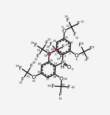 O=[PH](c1c(OC(F)(F)F)cc(OC(F)(F)F)cc1OC(F)(F)F)c1c(OC(F)(F)F)cc(OC(F)(F)F)cc1OC(F)(F)F